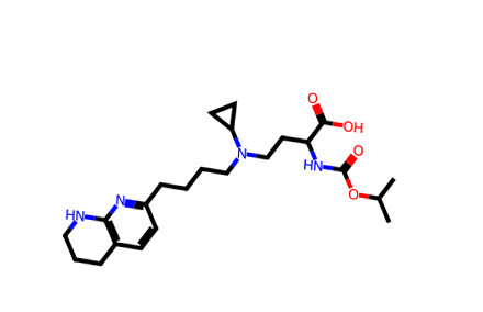 CC(C)OC(=O)NC(CCN(CCCCc1ccc2c(n1)NCCC2)C1CC1)C(=O)O